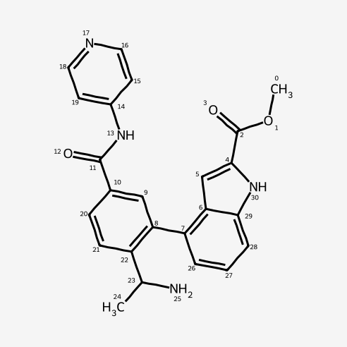 COC(=O)c1cc2c(-c3cc(C(=O)Nc4ccncc4)ccc3C(C)N)cccc2[nH]1